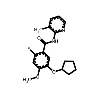 COc1cc(F)c(C(=O)Nc2ncccc2C)cc1OC1CCCC1